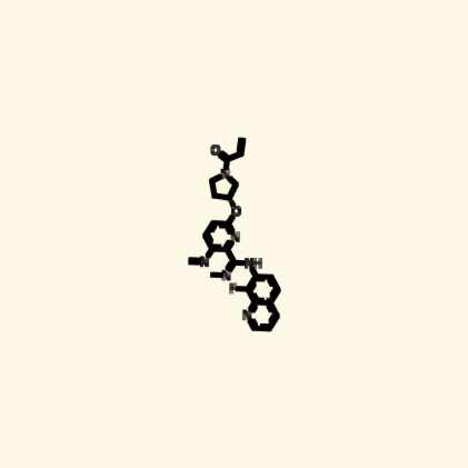 C=CC(=O)N1CC[C@H](Oc2ccc(N=C)c(/C(=N\C)Nc3ccc4cccnc4c3F)n2)C1